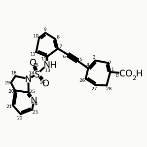 O=C(O)C1=CC=C(C#Cc2ccccc2NS(=O)(=O)N2CCc3cccnc32)C=CC1